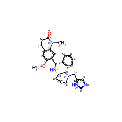 COc1cc2c(cc1CN[C@H]1CCCN(Cc3cnc[nH]3)[C@H]1c1ccccc1)N(C)C(=O)CC2